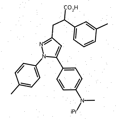 Cc1ccc(-n2nc(CC(C(=O)O)c3cccc(C)c3)cc2-c2ccc(N(C)C(C)C)cc2)cc1